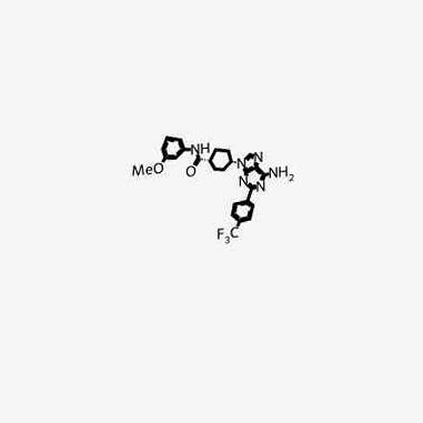 COc1cccc(NC(=O)[C@H]2CC[C@@H](n3cnc4c(N)nc(-c5ccc(C(F)(F)F)cc5)nc43)CC2)c1